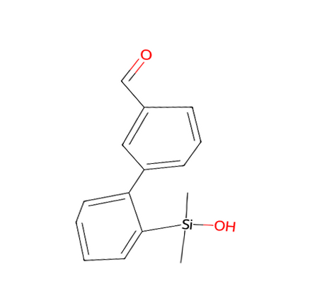 C[Si](C)(O)c1ccccc1-c1cccc(C=O)c1